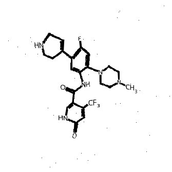 CN1CCN(c2cc(F)c(C3=CCNCC3)cc2NC(=O)c2c[nH]c(=O)cc2C(F)(F)F)CC1